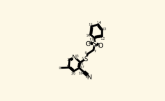 Cc1cnc(SCCS(=O)(=O)c2ccccc2)c(C#N)c1